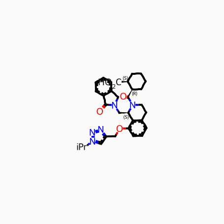 CC(C)n1cc(COc2cccc3c2[C@@H](CN2Cc4ccccc4C2=O)N(C(=O)[C@@H]2CCCC[C@@H]2C(=O)O)CC3)nn1